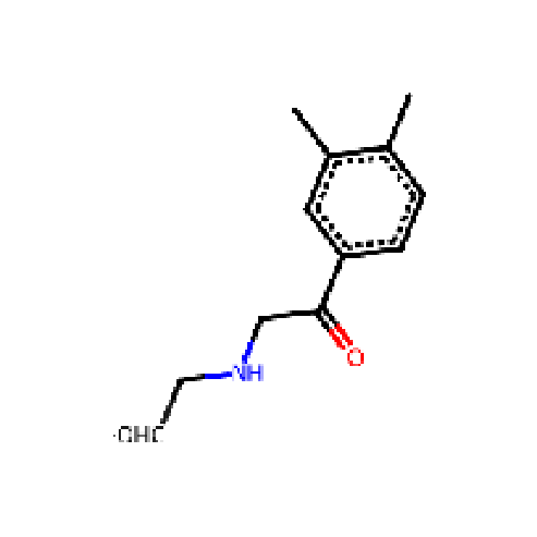 Cc1ccc(C(=O)CNC[C]=O)cc1C